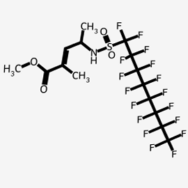 COC(=O)C(C)=CC(C)NS(=O)(=O)C(F)(F)C(F)(F)C(F)(F)C(F)(F)C(F)(F)C(F)(F)C(F)(F)C(F)(F)F